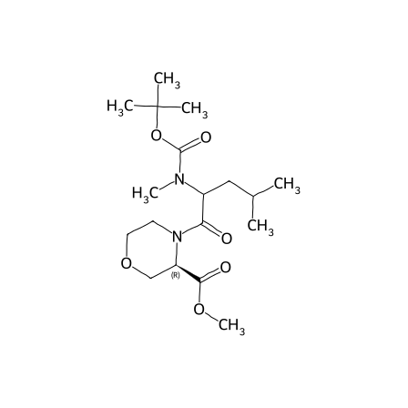 COC(=O)[C@H]1COCCN1C(=O)C(CC(C)C)N(C)C(=O)OC(C)(C)C